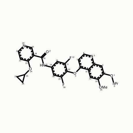 CCCOc1cc2nccc(Oc3c(F)cc(NC(=O)c4cnccc4OC4CC4)cc3F)c2cc1OC